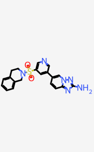 Nc1nc2ccc(-c3cncc(S(=O)(=O)N4CCc5ccccc5C4)c3)cn2n1